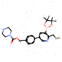 COCc1ncc(-c2ccc(COC(=O)N3CCNCC3)cc2)cc1B1OC(C)(C)C(C)(C)O1